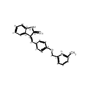 Cc1cccc(COc2ccc(C=C3C(=O)Nc4ccccc43)cc2)n1